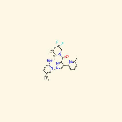 Cc1cccc(-c2cn(C)nc2C(=O)N2CC(F)(F)C[C@@H](C)[C@H]2CNc2ccc(C(F)(F)F)cn2)n1